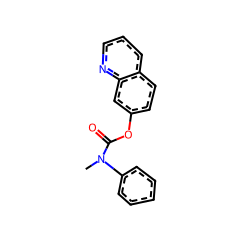 CN(C(=O)Oc1ccc2cccnc2c1)c1ccccc1